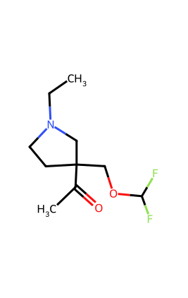 CCN1CCC(COC(F)F)(C(C)=O)C1